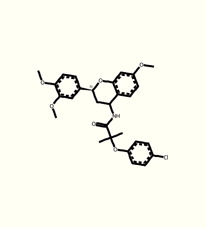 COc1ccc2c(c1)O[C@H](c1ccc(OC)c(OC)c1)CC2NC(=O)C(C)(C)Oc1ccc(Cl)cc1